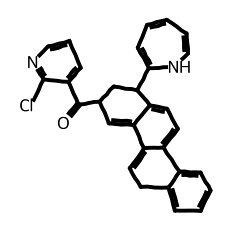 O=C(c1cccnc1Cl)C1C=c2c(ccc3c2=CCc2ccccc2-3)C(C2=CC=CC=CN2)C1